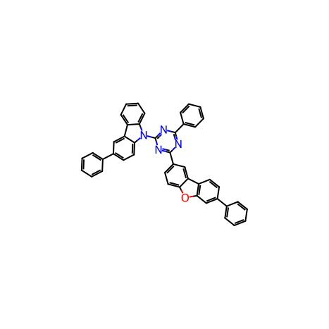 c1ccc(-c2ccc3c(c2)oc2ccc(-c4nc(-c5ccccc5)nc(-n5c6ccccc6c6cc(-c7ccccc7)ccc65)n4)cc23)cc1